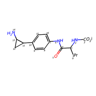 CC(C)C(NC(=O)O)C(=O)Nc1ccc(C2CC2N)cc1